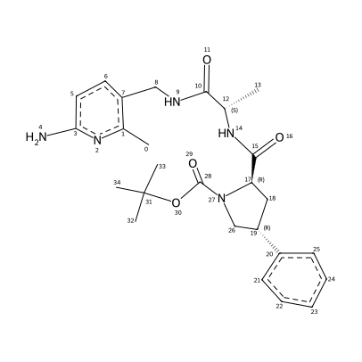 Cc1nc(N)ccc1CNC(=O)[C@H](C)NC(=O)[C@H]1C[C@H](c2ccccc2)CN1C(=O)OC(C)(C)C